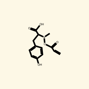 C=CC(=O)ON(C)C(Cc1ccc(O)cc1)C(=O)O